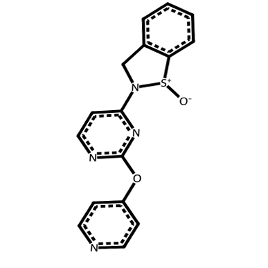 [O-][S+]1c2ccccc2CN1c1ccnc(Oc2ccncc2)n1